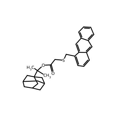 CC(C)(OC(=O)CSCc1cccc2cc3ccccc3cc12)C12CC3CC(CC(C3)C1)C2